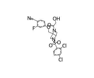 N#Cc1ccc(OCC23CN(S(=O)(=O)c4ccc(Cl)cc4Cl)C2CN3C(=O)CO)cc1F